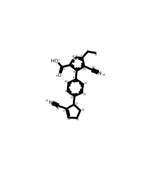 CCc1sc(C(=O)O)c(-c2ccc(C3CCC=C3C#N)cc2)c1C#N